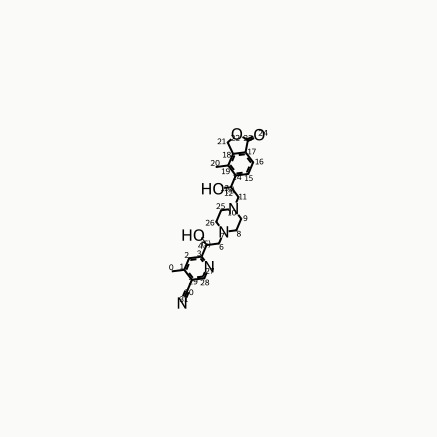 Cc1cc([C@@H](O)CN2CCN(C[C@@H](O)c3ccc4c(c3C)COC4=O)CC2)ncc1C#N